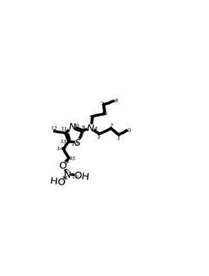 CCCCN(CCCC)c1nc(C)c(CCON(O)O)s1